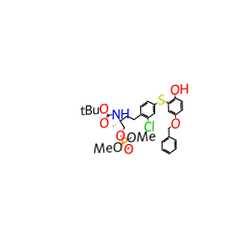 COP(=O)(OC)OC[C@](C)(CCc1ccc(Sc2cc(OCc3ccccc3)ccc2O)cc1Cl)NC(=O)OC(C)(C)C